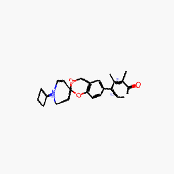 C/C=C(\C(C)=C(\C)C(C)=O)c1ccc2c(c1)COC1(CCN(C3CCC3)CC1)O2